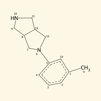 Cc1cccc(N2CC3CNCC3C2)c1